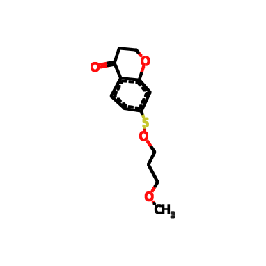 COCCCOSc1ccc2c(c1)OCCC2=O